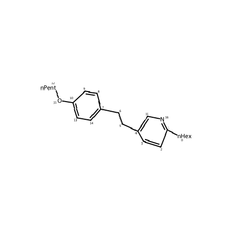 CCCCCCc1ccc(CCc2ccc(OCCCCC)cc2)cn1